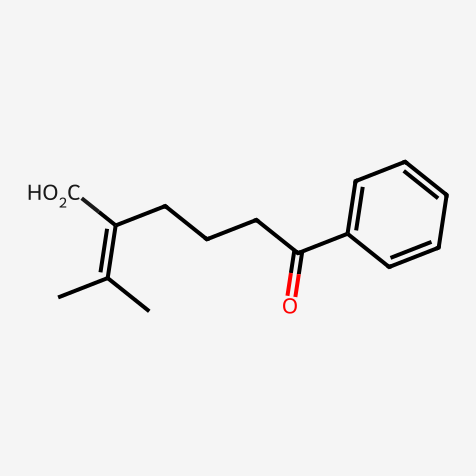 CC(C)=C(CCCC(=O)c1ccccc1)C(=O)O